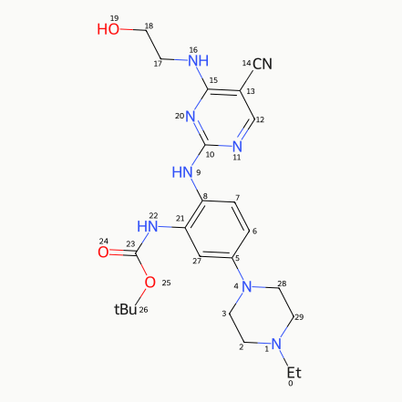 CCN1CCN(c2ccc(Nc3ncc(C#N)c(NCCO)n3)c(NC(=O)OC(C)(C)C)c2)CC1